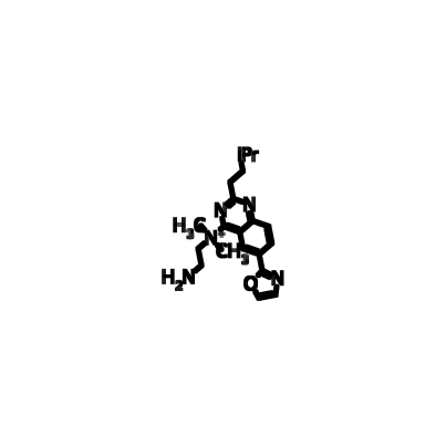 CC(C)CCc1nc([N+](C)(C)CCN)c2cc(-c3ncco3)ccc2n1